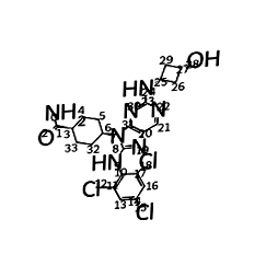 NC(=O)[C@H]1CC[C@@H](n2c(Nc3c(Cl)cc(Cl)cc3Cl)nc3cnc(N[C@H]4C[C@@H](O)C4)nc32)CC1